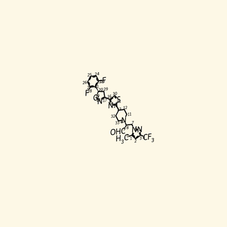 Cc1cc(C(F)(F)F)nn1CC(C=O)N1CCC(c2nc(C3=NO[C@@H](c4c(F)cccc4F)C3)cs2)CC1